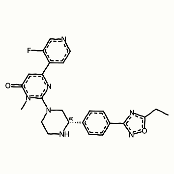 CCc1nc(-c2ccc([C@H]3CN(c4nc(-c5ccncc5F)cc(=O)n4C)CCN3)cc2)no1